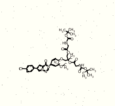 C=C(/C=C(\C=C/COCC(C)(COC(=O)CNC(=O)OC(C)(C)C)OC(=O)CNC(=O)OC(C)(C)C)n1cnn2cc(-c3ccc(Cl)cc3)cc2c1=O)OC